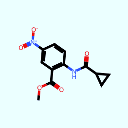 COC(=O)c1cc([N+](=O)[O-])ccc1NC(=O)C1CC1